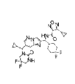 O=C(N[C@H](c1cn2ncc(C(C3CC3)N3CC(F)(F)CNC3=O)cc2n1)C1CCC(F)(F)CC1)c1nonc1C1CC1